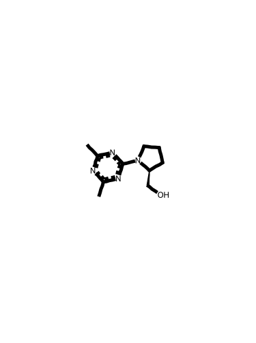 Cc1nc(C)nc(N2CCC[C@H]2CO)n1